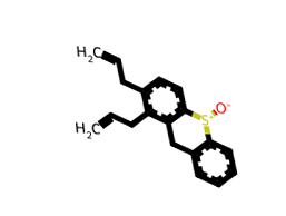 C=CCc1ccc2c(c1CC=C)Cc1ccccc1[S+]2[O-]